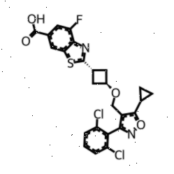 O=C(O)c1cc(F)c2nc([C@H]3C[C@H](OCc4c(-c5c(Cl)cccc5Cl)noc4C4CC4)C3)sc2c1